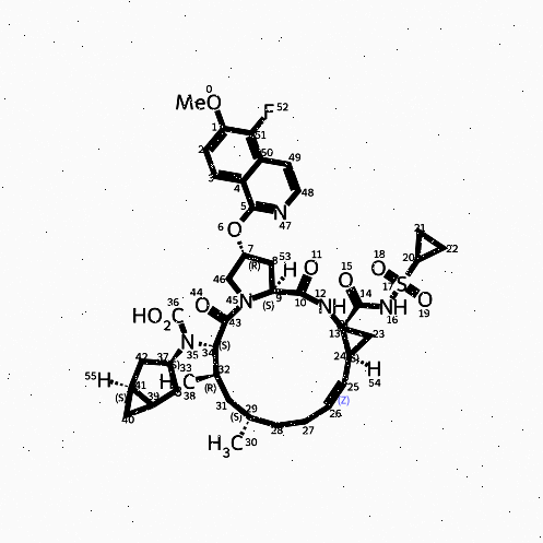 COc1ccc2c(O[C@@H]3C[C@H]4C(=O)N[C@]5(C(=O)NS(=O)(=O)C6CC6)C[C@H]5/C=C\CC[C@H](C)C[C@@H](C)[C@H](N(C(=O)O)[C@H]5CC6C[C@H]6C5)C(=O)N4C3)nccc2c1F